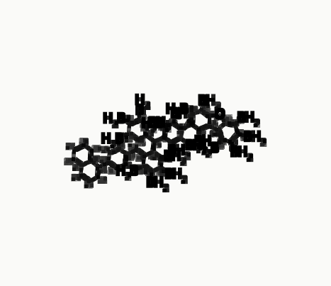 Bc1c(B)c(-c2c3c(B)c(B)c(B)c(B)c3c(-c3ccc(-c4cccc5ccccc45)cc3)c3c(B)c(B)c(B)c(B)c23)c(B)c(B)c1-c1c(B)c(B)c2oc3c(B)c(B)c(B)c(B)c3c2c1B